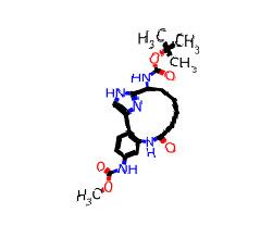 COC(=O)Nc1ccc2c(c1)NC(=O)CCCC[C@H](NC(=O)OC(C)(C)C)c1nc-2c[nH]1